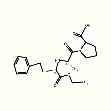 CCOC(=O)[C@H](CCc1ccccc1)N[C@@H](C)C(=O)N1CCCC1C(=O)O